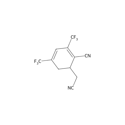 N#CCC1CC(C(F)(F)F)=CC(C(F)(F)F)=C1C#N